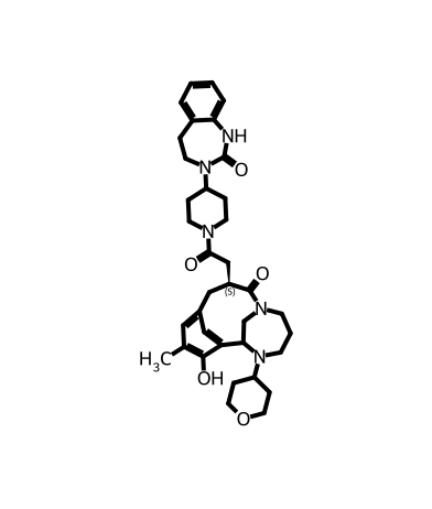 Cc1cc2cc(c1O)C1CN(CCCN1C1CCOCC1)C(=O)[C@H](CC(=O)N1CCC(N3CCc4ccccc4NC3=O)CC1)C2